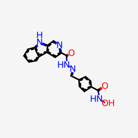 O=C(NO)c1ccc(C=NNC(=O)c2cc3c(cn2)[nH]c2ccccc23)cc1